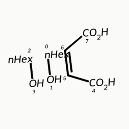 CCCCCCO.CCCCCCO.O=C(O)/C=C\C(=O)O